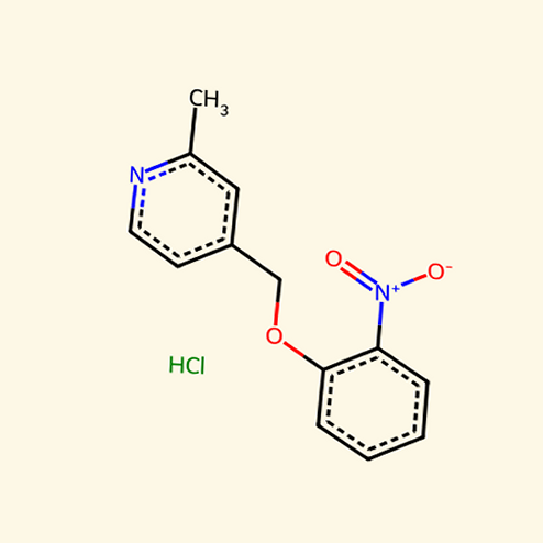 Cc1cc(COc2ccccc2[N+](=O)[O-])ccn1.Cl